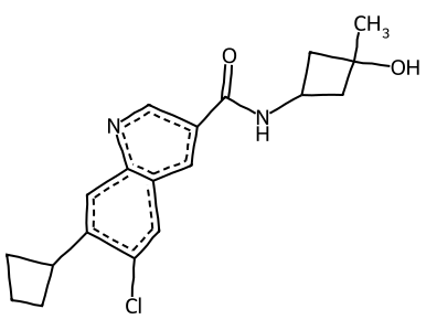 CC1(O)CC(NC(=O)c2cnc3cc(C4CCC4)c(Cl)cc3c2)C1